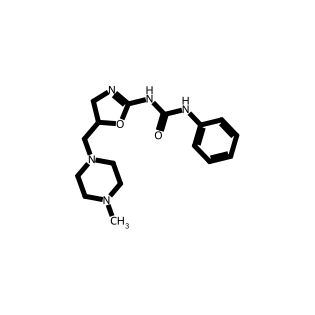 CN1CCN(CC2CN=C(NC(=O)Nc3ccccc3)O2)CC1